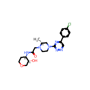 C[C@@H]1CN(c2nncc(-c3ccc(Cl)cc3)n2)CCN1CC(=O)N[C@@H]1CCOC[C@H]1O